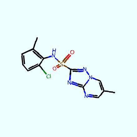 Cc1cnc2nc(S(=O)(=O)Nc3c(C)cccc3Cl)nn2c1